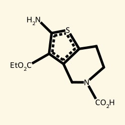 CCOC(=O)c1c(N)sc2c1CN(C(=O)O)CC2